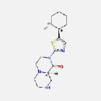 C[C@@H]1CCCC[C@H]1c1cnc(N2CCN3CCNC[C@@H]3C2=O)s1